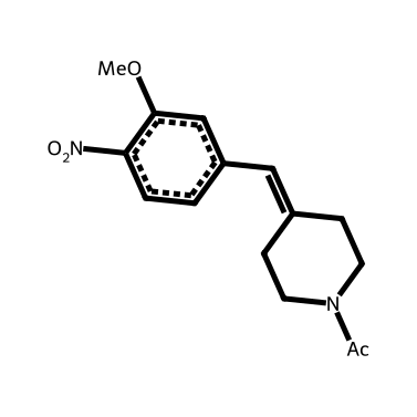 COc1cc(C=C2CCN(C(C)=O)CC2)ccc1[N+](=O)[O-]